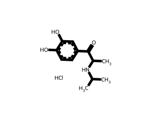 CC(C)NC(C)C(=O)c1ccc(O)c(O)c1.Cl